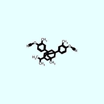 Cc1cc(C23CC4(C)CC(c5ccc(OC#N)c(C)c5)(C2)CC(C(C)C)(C4)C3)ccc1OC#N